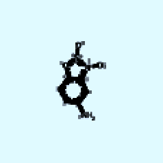 Nc1ccc2o[n+]([O-])[n+]([O-])c2c1